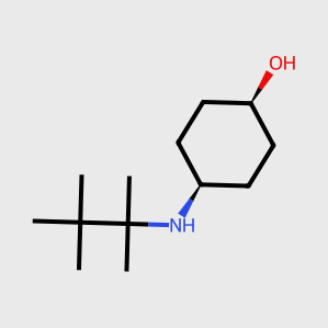 CC(C)(C)C(C)(C)N[C@H]1CC[C@@H](O)CC1